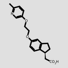 Cc1ccc(OCCOc2ccc3c(c2)CC[C@H]3CC(=O)O)cn1